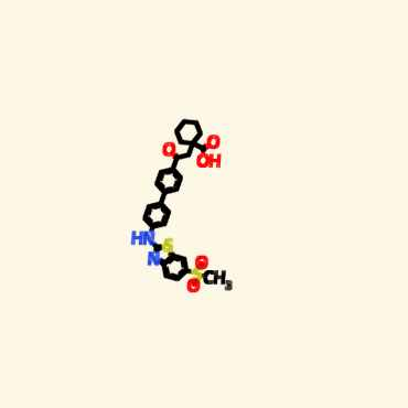 CS(=O)(=O)c1ccc2nc(Nc3ccc(-c4ccc(C(=O)CC5(C(=O)O)CCCCC5)cc4)cc3)sc2c1